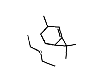 CC1C=C2C(CC1)C2(C)C.CCOCC